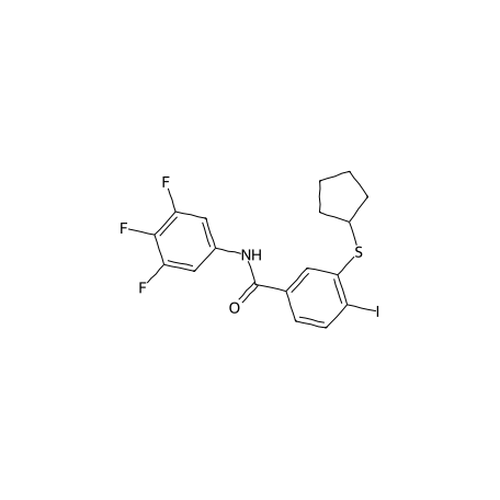 O=C(Nc1cc(F)c(F)c(F)c1)c1ccc(I)c(SC2CCCC2)c1